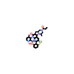 C=CC(=O)N1CC(C)N2c3c(c(=O)n(-c4c(C)ccnc4C(C)C)c4nc(-c5c(O)cccc5F)c(Cl)cc34)CC2C1